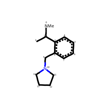 CNC(C)c1ccccc1CN1CCCC1